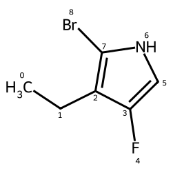 CCc1c(F)c[nH]c1Br